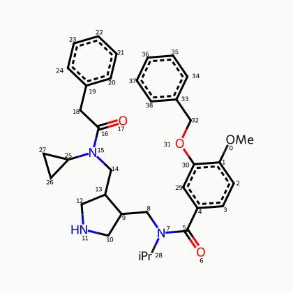 COc1ccc(C(=O)N(CC2CNCC2CN(C(=O)Cc2ccccc2)C2CC2)C(C)C)cc1OCc1ccccc1